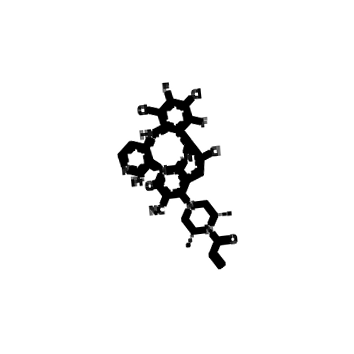 C=CC(=O)N1[C@H](C)CN(c2c(C#N)c(=O)n3c4nc(c(Cl)cc24)c2c(F)c(Cl)c(F)c(Cl)c2[nH]c2ccnc(C(C)C)c23)C[C@@H]1C